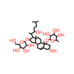 CC(C)CCC(O)C(C)C1C(OC2OC(CO)C(O)C(O)C2O)CC2C3CC=C4CC(O)CC(OC5OC(C)C(O)C(O)C5O)C4(C)C3CCC21C